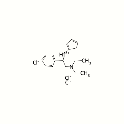 CCN(CC)C[CH]([Hf+3][C]1=CC=CC1)c1ccccc1.[Cl-].[Cl-].[Cl-]